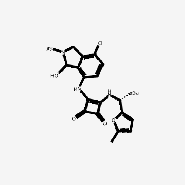 Cc1ccc([C@H](Nc2c(Nc3ccc(Cl)c4c3C(O)N(C(C)C)C4)c(=O)c2=O)C(C)(C)C)o1